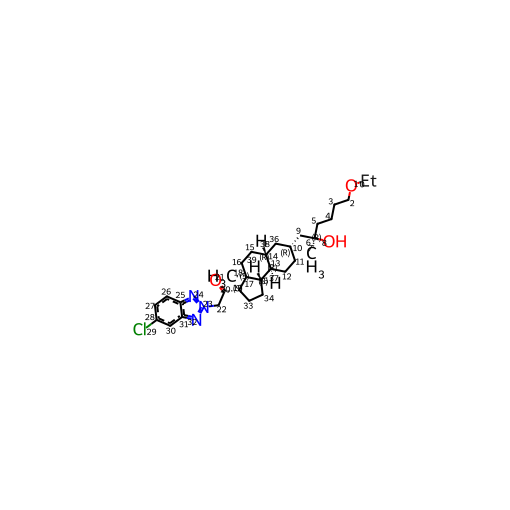 CCOCCCC[C@@](C)(O)C[C@@H]1CC[C@@H]2[C@H](CC[C@]3(C)[C@@H](C(=O)Cn4nc5ccc(Cl)cc5n4)CC[C@@H]23)C1